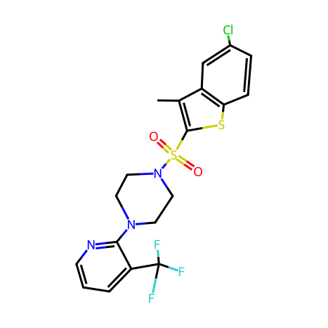 Cc1c(S(=O)(=O)N2CCN(c3ncccc3C(F)(F)F)CC2)sc2ccc(Cl)cc12